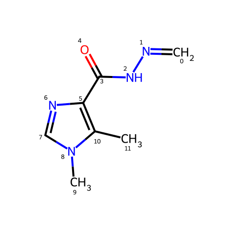 C=NNC(=O)c1ncn(C)c1C